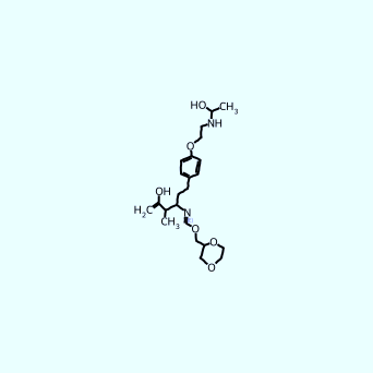 C=C(O)C(C)C(CCc1ccc(OCCNC(C)O)cc1)/N=C/OCC1COCCO1